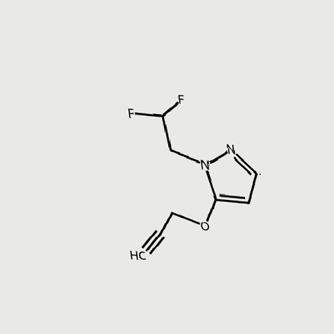 C#CCOc1c[c]nn1CC(F)F